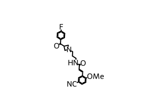 COc1ccc(C#N)cc1C=CC(=O)NCCCN1CC(C(=O)c2ccc(F)cc2)C1